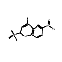 CC1=CC([N+](C)(C)C)Oc2ccc([N+](=O)[O-])cc21